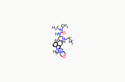 C=CCN1CC(NC(=O)N(CC)CC)C[C@@H]2c3cccc4[nH]c(C[N+]5(C)CCOCC5)c(c34)C[C@H]21.[I-]